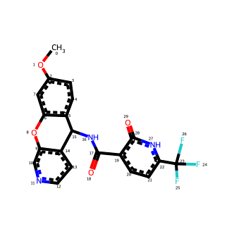 COc1ccc2c(c1)Oc1cnccc1C2NC(=O)c1ccc(C(F)(F)F)[nH]c1=O